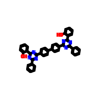 Oc1ccccc1-c1nc(-c2ccccc2)nc(-c2ccc(-c3ccc(-c4nc(-c5ccccc5)nc(-c5ccccc5O)n4)cc3)cc2)n1